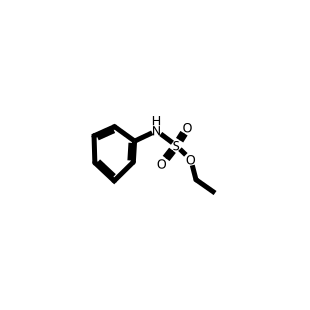 CCOS(=O)(=O)Nc1ccccc1